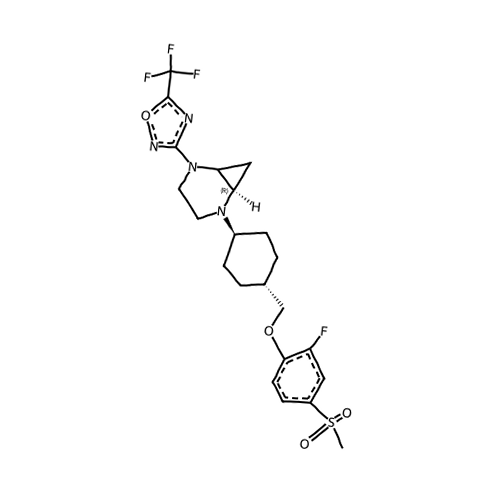 CS(=O)(=O)c1ccc(OC[C@H]2CC[C@H](N3CCN(c4noc(C(F)(F)F)n4)C4C[C@H]43)CC2)c(F)c1